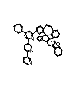 C1=Cc2ccc(-c3cc(-c4ccccc4)nc(-c4ccc(-c5cccnc5)nc4)n3)cc2C2(c3ccccc31)c1ccccc1-c1cc3c(cc12)oc1ccccc13